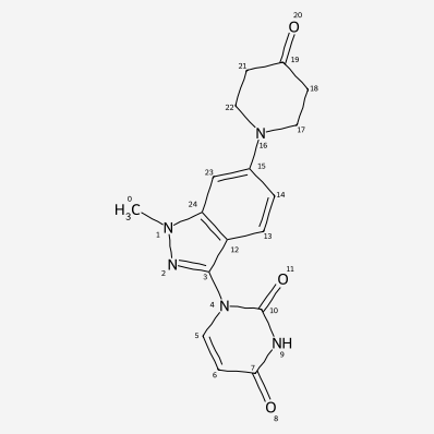 Cn1nc(-n2ccc(=O)[nH]c2=O)c2ccc(N3CCC(=O)CC3)cc21